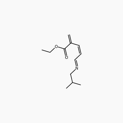 C=C(/C=C\C=N\CC(C)C)C(=O)OCC